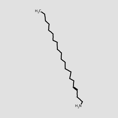 CCCCCCCCCCCCCCCCC=C[CH]CN